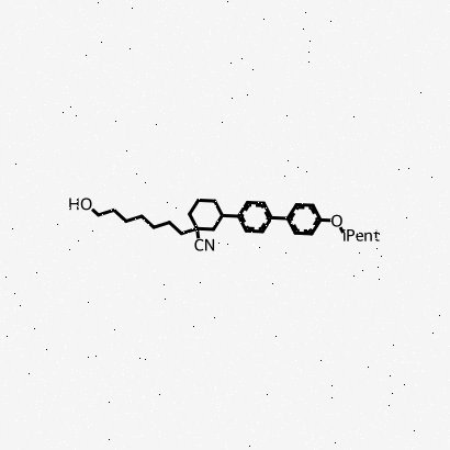 CCCC(C)Oc1ccc(-c2ccc(C3CCCC(C#N)(CCCCCCCO)C3)cc2)cc1